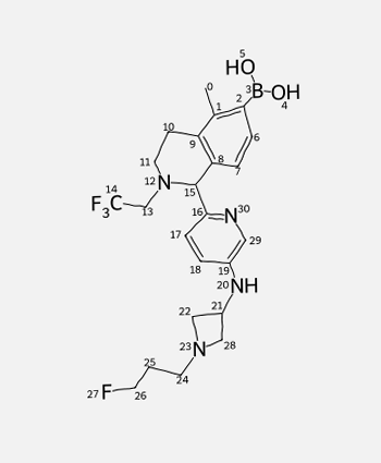 Cc1c(B(O)O)ccc2c1CCN(CC(F)(F)F)C2c1ccc(NC2CN(CCCF)C2)cn1